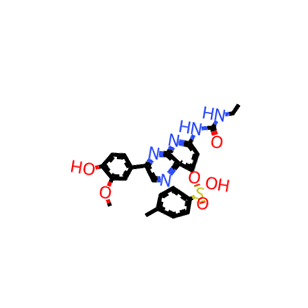 CCNC(=O)Nc1ccc2ncc(-c3ccc(O)c(OC)c3)nc2n1.Cc1ccc(S(=O)(=O)O)cc1